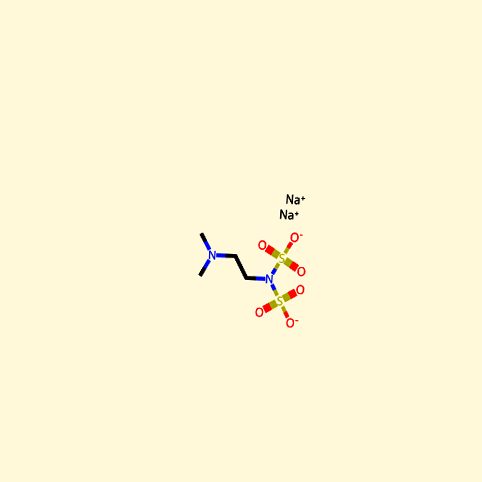 CN(C)CCN(S(=O)(=O)[O-])S(=O)(=O)[O-].[Na+].[Na+]